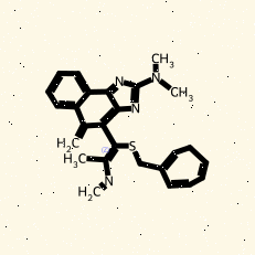 C=N/C(C)=C(\SCC1=CCC=CC=C1)c1c2c(c3ccccc3c1=C)=NC(N(C)C)=N2